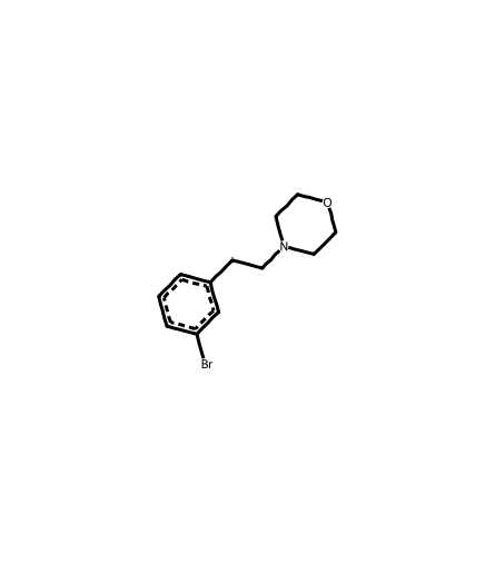 Brc1cccc([CH]CN2CCOCC2)c1